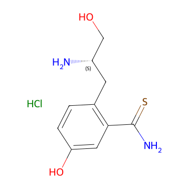 Cl.NC(=S)c1cc(O)ccc1C[C@H](N)CO